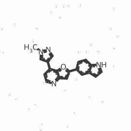 Cn1cc(-c2ccnc3cc(-c4ccc5[nH]ccc5c4)oc23)cn1